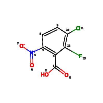 O=C(O)c1c([N+](=O)[O-])ccc(Cl)c1F